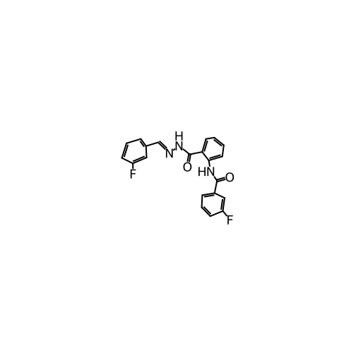 O=C(Nc1ccccc1C(=O)NN=Cc1cccc(F)c1)c1cccc(F)c1